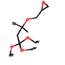 CCCO[Si](CC(C)(CC)OCC1CO1)(OCCC)OCCC